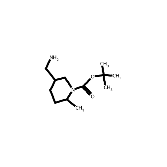 CC1CCC(CN)CN1C(=O)OC(C)(C)C